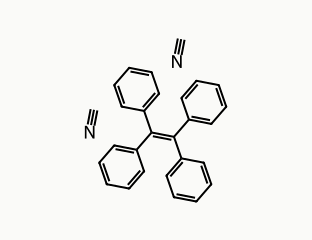 C#N.C#N.c1ccc(C(=C(c2ccccc2)c2ccccc2)c2ccccc2)cc1